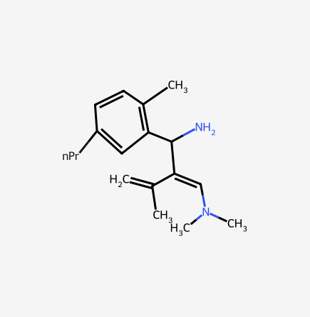 C=C(C)/C(=C\N(C)C)C(N)c1cc(CCC)ccc1C